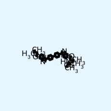 COC(=O)N[C@H](C(=O)N1CCn2c(-c3ccc(-c4ccc(-c5cnc6n5CCN(C(=O)CC(C)C)C6)cc4)cc3)cnc2C1)C(C)C